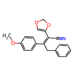 COc1ccc(C(Cc2ccccc2)=C(C#N)C2=COCO2)cc1